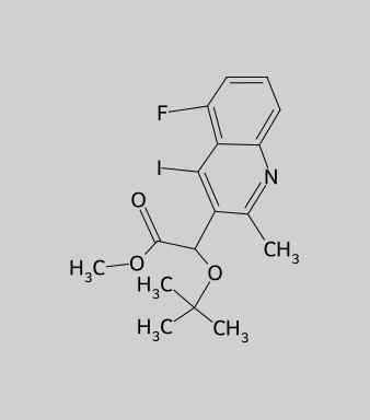 COC(=O)C(OC(C)(C)C)c1c(C)nc2cccc(F)c2c1I